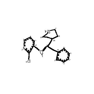 Clc1ncccc1OC(c1ccccc1)C1CCNC1